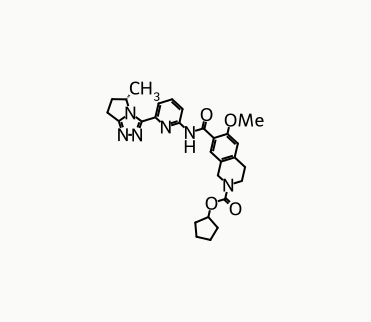 COc1cc2c(cc1C(=O)Nc1cccc(-c3nnc4n3[C@@H](C)CC4)n1)CN(C(=O)OC1CCCC1)CC2